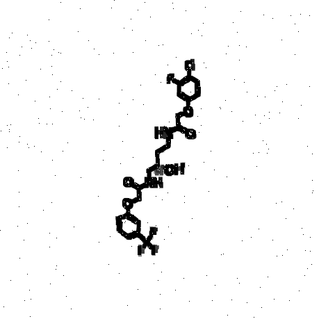 O=C(COc1ccc(Cl)c(F)c1)NCC[C@H](O)CNC(=O)COc1cccc(C(F)(F)F)c1